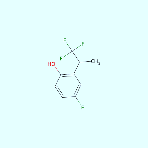 CC(c1cc(F)ccc1O)C(F)(F)F